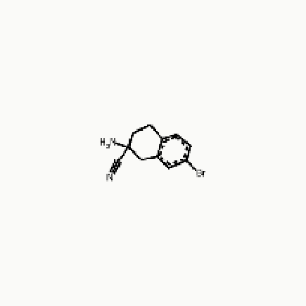 N#CC1(N)CCc2ccc(Br)cc2C1